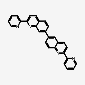 c1ccc(-c2ccc3cc(-c4ccc5ccc(-c6ccccn6)nc5c4)ccc3n2)nc1